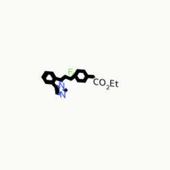 CCOC(=O)CC1CCC(F)(CCC2c3ccccc3-c3cncn32)CC1